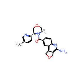 C[C@H]1COC[C@@H](c2ccc(C(F)(F)F)cn2)N1C(=O)c1ccc2nc(N)c3c(c2c1)COC3